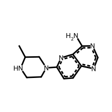 CC1CN(c2ccc3ncnc(N)c3n2)CCN1